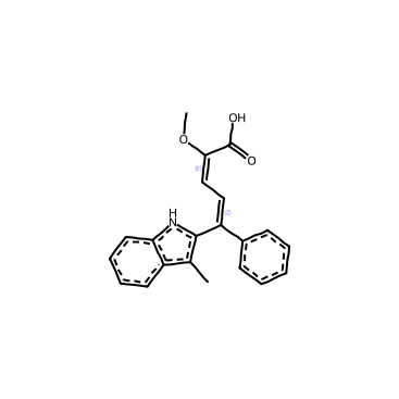 CO/C(=C/C=C(/c1ccccc1)c1[nH]c2ccccc2c1C)C(=O)O